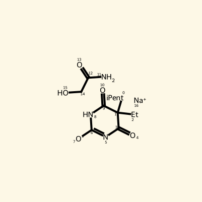 CCCC(C)C1(CC)C(=O)N=C([O-])NC1=O.NC(=O)CO.[Na+]